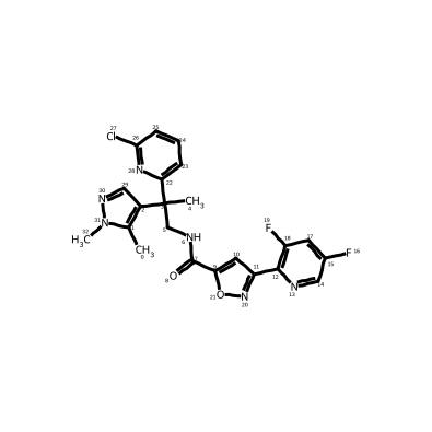 Cc1c(C(C)(CNC(=O)c2cc(-c3ncc(F)cc3F)no2)c2cccc(Cl)n2)cnn1C